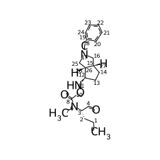 CCC[C@@H](C=O)N(C)C(=O)ON[C@@H]1CC[C@H]2CN(Cc3ccccc3)C[C@H]21